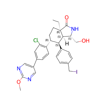 CC[C@@]12CC[C@@H](c3ccc(-c4cnc(OC)nc4)cc3Cl)[C@H](c3ccc(CI)cc3)[C@@H]1[C@@H](CO)NC2=O